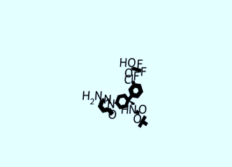 CC(C)(C)OC(=O)NC[C@]1(c2cccc(Cl)c2)CC[C@@H](n2nc(N)ccc2=O)CC1.O=C(O)C(F)(F)F